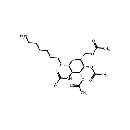 CC(=O)N[C@H]1[C@H](OCCCCCCN)O[C@H](COC(C)=O)[C@H](OC(C)=O)[C@@H]1OC(C)=O